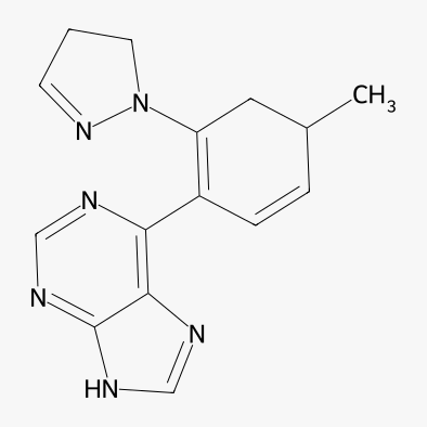 CC1C=CC(c2ncnc3[nH]cnc23)=C(N2CCC=N2)C1